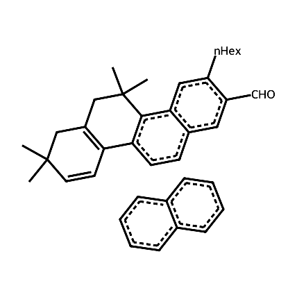 CCCCCCc1cc2c3c(ccc2cc1C=O)C1=C(CC(C)(C)C=C1)CC3(C)C.c1ccc2ccccc2c1